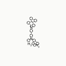 CC1(C)c2ccccc2-c2ccc(N(c3ccccc3)c3ccc(-c4ccc(-n5cc6c7c(cccc75)-c5c(c7ccccc7c7ccccc57)-c5ccccc5-6)cc4)cc3)cc21